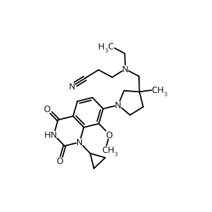 CCN(CCC#N)CC1(C)CCN(c2ccc3c(=O)[nH]c(=O)n(C4CC4)c3c2OC)C1